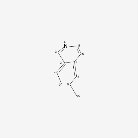 C/C=c1/cncc/c1=C/CC